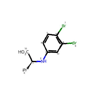 CC(C)[C@H](Nc1ccc(Br)c(Br)c1)C(=O)O